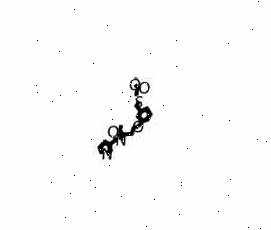 COC(=O)CSCc1cccc(OCCc2nc(-c3cccnc3)oc2C)c1